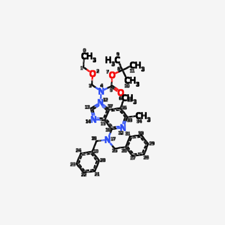 CCOCN(C(=O)OC(C)(C)C)n1cnc2c(N(Cc3ccccc3)Cc3ccccc3)nc(C)c(C)c21